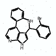 Brc1ccccc1C1Nc2ccccc2-c2ccnc3[nH]cc1c23